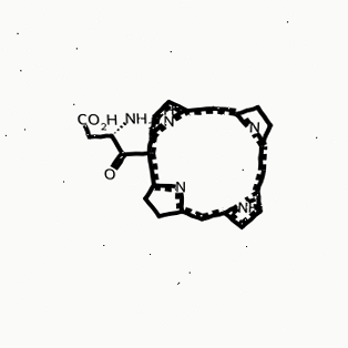 N[C@@H](CC(=O)O)C(=O)c1c2nc(cc3ccc(cc4nc(cc5ccc1[nH]5)CC4)[nH]3)CC2